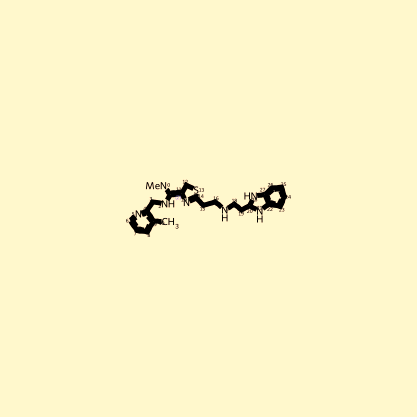 CN/C(NCc1ncccc1C)=C1\CSC(CCNCCC2Nc3ccccc3N2)=N1